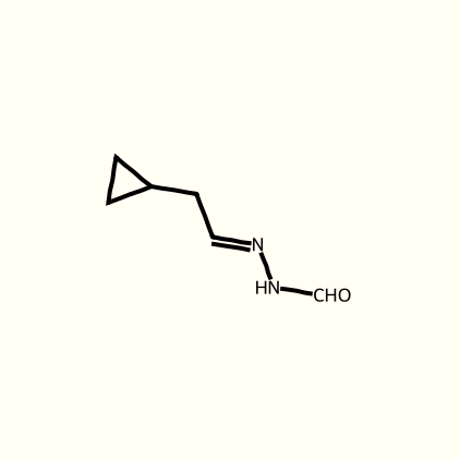 O=CNN=CCC1CC1